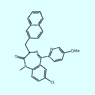 COc1ccc(C2=NC(Cc3ccc4ccccc4c3)C(=O)N(C)c3ccc(Cl)cc32)nc1